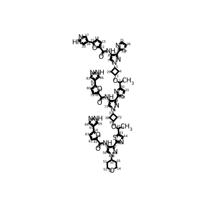 CC(O[C@H]1C[C@@H](n2cc(NC(=O)c3ccc(-c4cn[nH]c4)o3)c(-c3nccs3)n2)C1)c1csc(-c2nn([C@H]3C[C@@H](OC(C)c4cnc(-c5nn(C6CCOCC6)cc5NC(=O)c5ccc(-c6cn[nH]c6)o5)s4)C3)cc2NC(=O)c2ccc(-c3cn[nH]c3)o2)n1